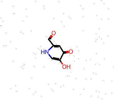 O=Cc1cc(=O)c(O)c[nH]1